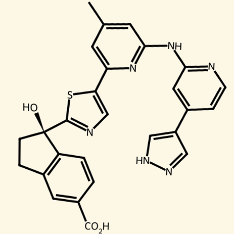 Cc1cc(Nc2cc(-c3cn[nH]c3)ccn2)nc(-c2cnc([C@@]3(O)CCc4cc(C(=O)O)ccc43)s2)c1